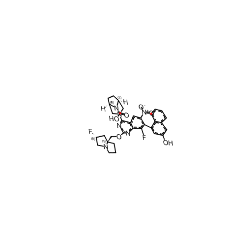 O=C(O)N1[C@@H]2CC[C@H]1CN(c1nc(OC[C@@]34CCCN3C[C@H](F)C4)nc3c(F)c(-c4cc(O)cc5ccccc45)c([N+](=O)[O-])cc13)C2